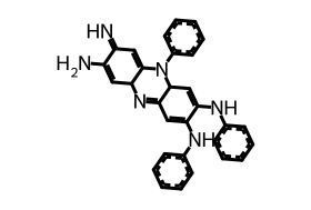 N=C1C=C2C(C=C1N)N=C1C=C(Nc3ccccc3)C(Nc3ccccc3)=CC1N2c1ccccc1